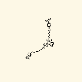 O=C(OCCCCCCOc1ccc([N+](=O)[O-])cc1)OB(OC(=O)OCCCCCCOc1ccc([N+](=O)[O-])cc1)c1ccccc1